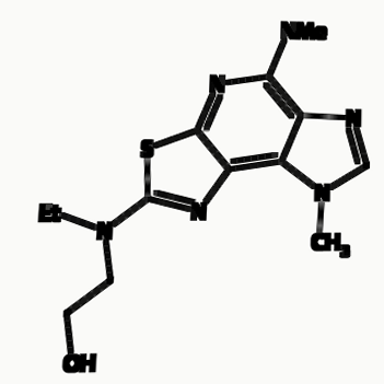 CCN(CCO)c1nc2c(nc(NC)c3ncn(C)c32)s1